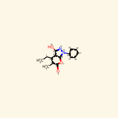 CCc1c(C)c(=O)oc2c1c(O)nn2-c1ccccc1